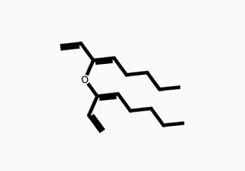 C=CC(=CCCCC)OC(C=C)=CCCCC